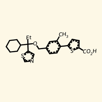 CCC(OCc1ccc(-c2ccc(C(=O)O)s2)c(C)c1)(c1cncs1)C1CCCCC1